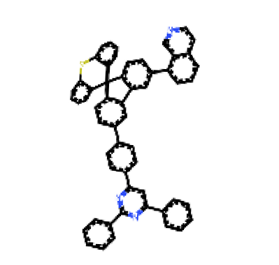 c1ccc(-c2cc(-c3ccc(-c4ccc5c(c4)-c4cc(-c6cccc7ccncc67)ccc4C54c5ccccc5Sc5ccccc54)cc3)nc(-c3ccccc3)n2)cc1